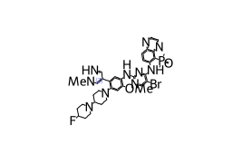 CN/C=C(\C=N)c1cc(Nc2ncc(Br)c(Nc3ccc4nccnc4c3P(C)(C)=O)n2)c(OC)cc1N1CCC(N2CCC(F)CC2)CC1